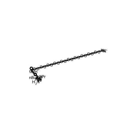 CCCCc1nc2c(N)nnc(OC(C)C)c2n1Cc1ccc(CNC(=O)C2(COCCOCCOCCOCCOCCOCCOCCOCCOCCOCCOCCOCCOCCOCCOCCOCCOCCOCCOCCOCCN=[N+]=[N-])CCCCC2)cc1